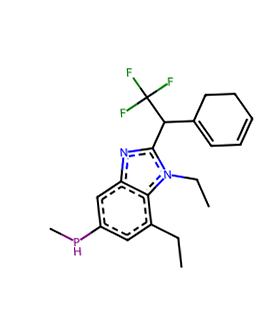 CCc1cc(PC)cc2nc(C(C3=CC=CCC3)C(F)(F)F)n(CC)c12